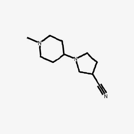 CN1CCC(N2CCC(C#N)C2)CC1